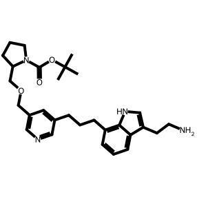 CC(C)(C)OC(=O)N1CCCC1COCc1cncc(CCCc2cccc3c(CCN)c[nH]c23)c1